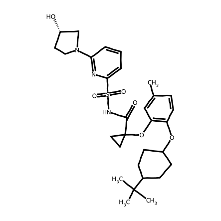 Cc1ccc(OC2CCC(C(C)(C)C)CC2)c(OC2(C(=O)NS(=O)(=O)c3cccc(N4CC[C@H](O)C4)n3)CC2)c1